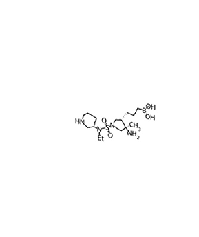 CCN(C1CCCNC1)S(=O)(=O)N1C[C@H](CCCB(O)O)[C@@](C)(N)C1